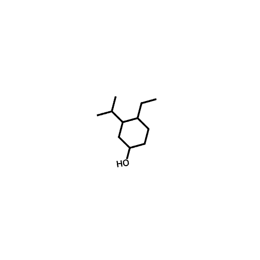 CCC1CCC(O)CC1C(C)C